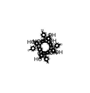 CC1CCC(Oc2cc(O)c3cc2C(c2ccc(O)cc2)c2cc(c(OC4CCC(C)CC4)cc2O)C(c2ccc(O)cc2)c2cc(c(OC4CCC(C)CC4)cc2O)C(c2ccc(O)cc2)c2cc(c(OC4CCC(C)CC4)cc2O)C3c2ccc(O)cc2)CC1